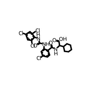 O=C(Nc1cc(Cl)ccc1C(=O)NC(C(=O)O)C1CCCCC1)Nc1c(Cl)cc(Cl)cc1Cl